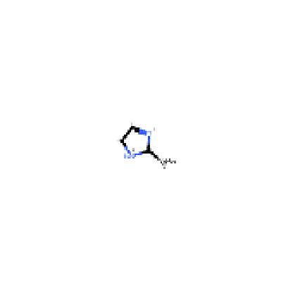 COC1N=[C]CN1